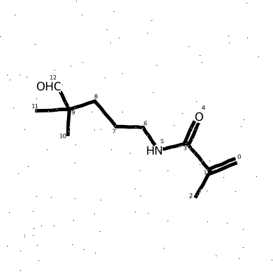 C=C(C)C(=O)NCCCC(C)(C)C=O